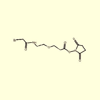 O=C(CBr)NCCOCCC(=O)ON1C(=O)CCC1=O